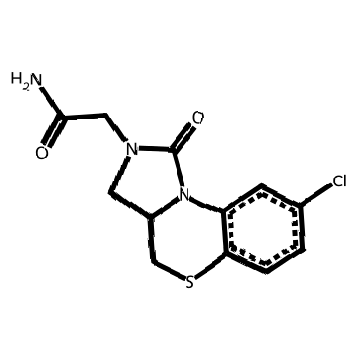 NC(=O)CN1CC2CSc3ccc(Cl)cc3N2C1=O